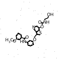 COc1cccc(C(=O)Nc2cccc(OCc3csc4c(OC(=O)NCCO)cncc34)c2)c1